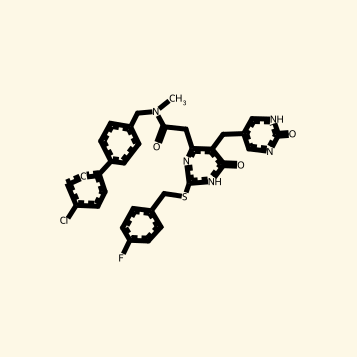 CN(Cc1ccc(-c2ccc(Cl)cc2)cc1)C(=O)Cc1nc(SCc2ccc(F)cc2)[nH]c(=O)c1Cc1cnc(=O)[nH]c1